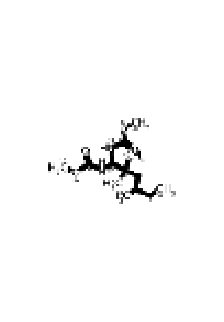 CCC(C)CC(C)(C)C(NC(=O)OC)NC(=O)OC